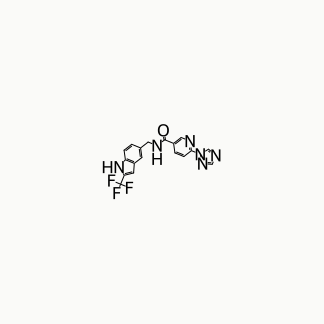 O=C(NCc1ccc2[nH]c(C(F)(F)F)cc2c1)c1ccc(-n2cncn2)nc1